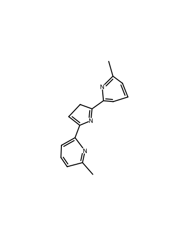 Cc1cccc(C2=CCC(c3cccc(C)n3)=N2)n1